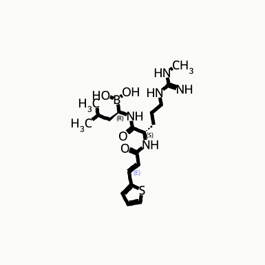 CNC(=N)NCCC[C@H](NC(=O)/C=C/c1cccs1)C(=O)N[C@@H](CC(C)C)B(O)O